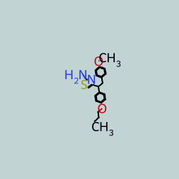 CCCCOc1ccc(C(Cc2ccc(OC)cc2)c2csc(N)n2)cc1